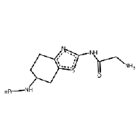 CCCNC1CCc2nc(NC(=O)CN)sc2C1